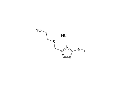 Cl.N#CCCSCc1csc(N)n1